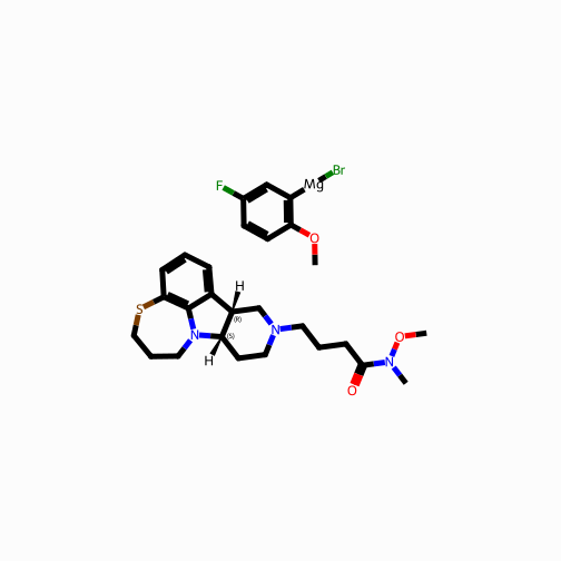 CON(C)C(=O)CCCN1CC[C@H]2[C@@H](C1)c1cccc3c1N2CCCS3.COc1ccc(F)c[c]1[Mg][Br]